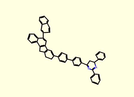 C1=C(c2ccc(-c3ccc(C4=NC(c5ccccc5)=NC(c5ccccc5)C4)cc3)cc2)CCC2=C1c1cc(-c3ccc4ccccc4c3)c3ccccc3c1C2